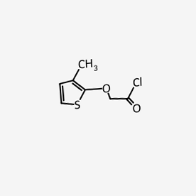 Cc1ccsc1OCC(=O)Cl